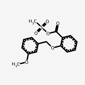 COc1cccc(COc2ccccc2C(=O)OS(C)(=O)=O)c1